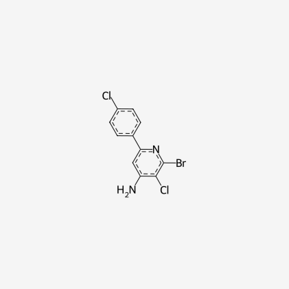 Nc1cc(-c2ccc(Cl)cc2)nc(Br)c1Cl